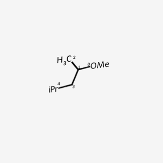 [C]OC(C)CC(C)C